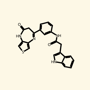 O=C(Cc1c[nH]c2ccccc12)Nc1cccc(C2=Nc3cscc3NC(=O)C2)c1